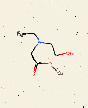 CC(C)(C)CN(CCO)CC(=O)OC(C)(C)C